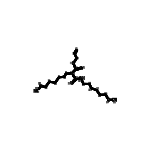 C=CCOC(=O)N(CCCCCCOC#N)C(=O)NCCCCCCOC#N